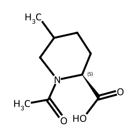 CC(=O)N1CC(C)CC[C@H]1C(=O)O